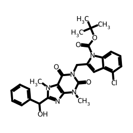 Cn1c(C(O)c2ccccc2)nc2c1c(=O)n(Cc1cc3c(Cl)cccc3n1C(=O)OC(C)(C)C)c(=O)n2C